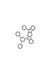 c1ccc(-c2cc(-c3ccccc3)cc(-n3c4ccccc4c4cc5c6ccccc6n(-c6ccccc6)c5cc43)c2)cc1